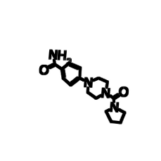 NC(=O)c1ccc(N2CCN(C(=O)N3CCCC3)CC2)cc1